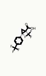 O=C(O)[C@]1(C(F)(F)F)C[C@H]1c1ccc(C(F)(F)F)cc1